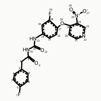 O=C(Cc1ccc(F)cc1)NC(=O)Nc1ccc(Oc2ccncc2[N+](=O)[O-])c(F)c1